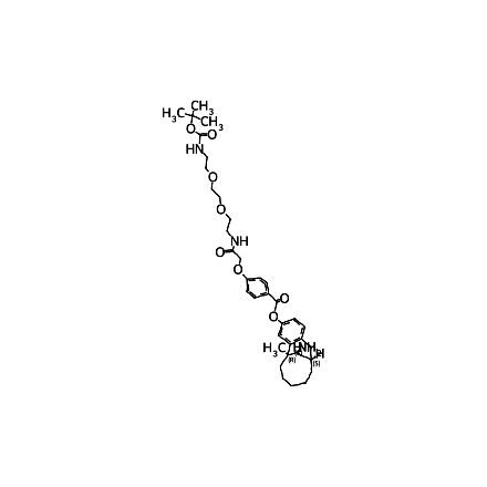 CC(C)(C)OC(=O)NCCOCCOCCNC(=O)COc1ccc(C(=O)Oc2ccc3c(c2)[C@@]2(C)CCCCC[C@@H](C3)[C@@H]2N)cc1